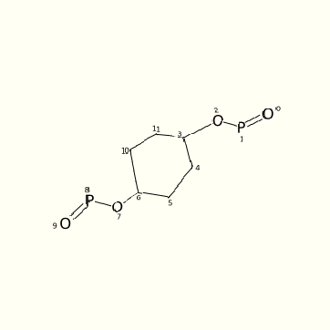 O=POC1CCC(OP=O)CC1